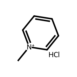 C[n+]1ccccc1.Cl